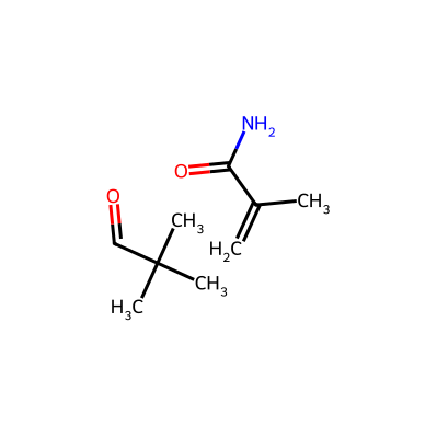 C=C(C)C(N)=O.CC(C)(C)C=O